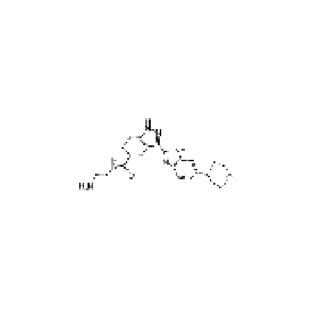 NCCNC(=O)c1ccc2[nH]nc(-c3nc4ccc(N5CCOCC5)cc4[nH]3)c2c1